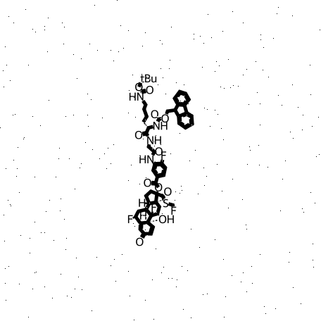 CC(C)(C)OC(=O)NCCCC[C@H](NC(=O)OCC1c2ccccc2-c2ccccc21)C(=O)NCC(=O)Nc1cc(C(=O)O[C@]2(C(=O)SCF)CC[C@H]3[C@@H]4C[C@H](F)C5=CC(=O)C=C[C@]5(C)[C@@]4(F)[C@@H](O)C[C@@]32C)ccc1F